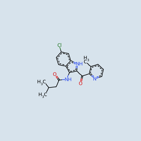 Cc1cccnc1C(=O)c1[nH]c2cc(Cl)ccc2c1NC(=O)CC(C)C